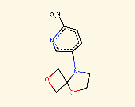 O=[N+]([O-])c1ccc(N2CCOC23COC3)cn1